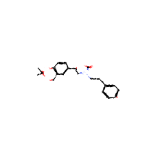 C[C@@H](Cc1ccc(O)cc1)N1CC(c2ccc3c(c2)COC(C)(C)O3)OC1=O